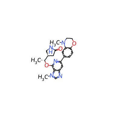 C[C@@H](Oc1nc(-c2ccc3c(c2)N(C)CCO3)cc2ncn(C)c12)[C@H]1CNC(=O)C1